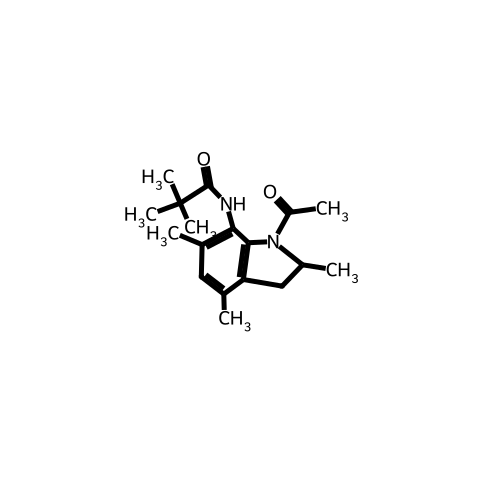 CC(=O)N1c2c(c(C)cc(C)c2NC(=O)C(C)(C)C)CC1C